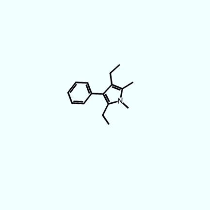 CCc1c(-c2ccccc2)c(CC)n(C)c1C